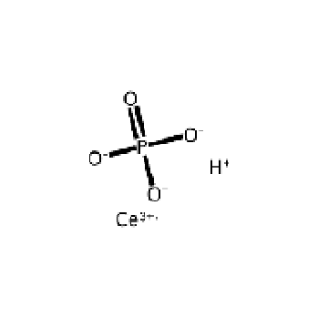 O=P([O-])([O-])[O-].[Ce+3].[H+]